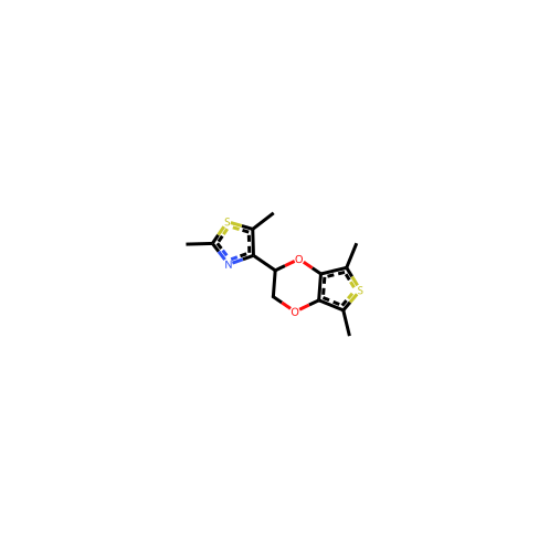 Cc1nc(C2COc3c(C)sc(C)c3O2)c(C)s1